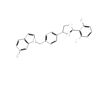 Fc1ccc2ccn(Cc3ccc(C4COC(c5c(F)cccc5F)=N4)cc3)c2c1